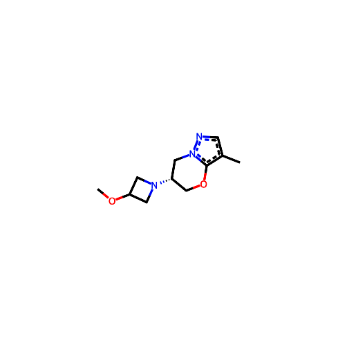 COC1CN([C@H]2COc3c(C)cnn3C2)C1